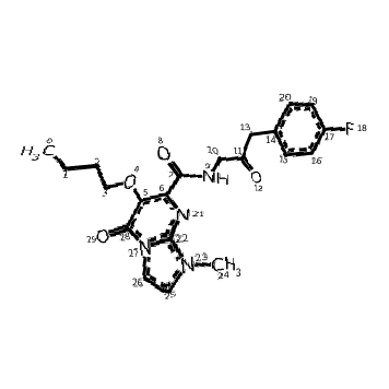 CCCCOc1c(C(=O)NCC(=O)Cc2ccc(F)cc2)nc2n(C)ccn2c1=O